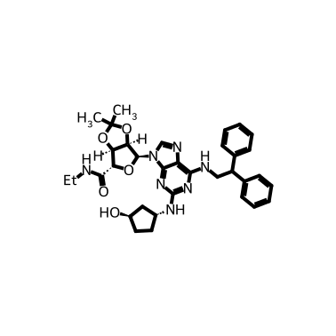 CCNC(=O)[C@H]1O[C@H](n2cnc3c(NCC(c4ccccc4)c4ccccc4)nc(N[C@@H]4CC[C@@H](O)C4)nc32)[C@@H]2OC(C)(C)O[C@@H]21